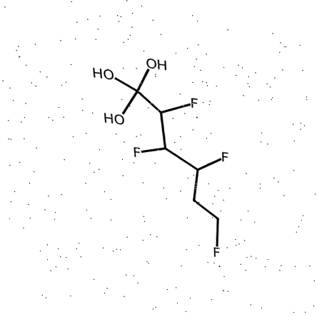 OC(O)(O)C(F)C(F)C(F)CCF